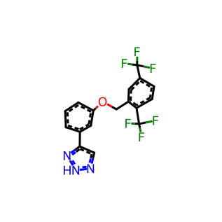 FC(F)(F)c1ccc(C(F)(F)F)c(COc2cccc(-c3cn[nH]n3)c2)c1